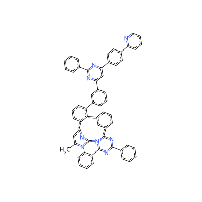 Cc1cc2nc(n1)[n+]1c(-c3ccccc3)nc(-c3ccccc3)nc1c1cccc(c1)c1c(-c3cccc(-c4cc(-c5ccc(-c6ccccn6)cc5)nc(-c5ccccc5)n4)c3)cccc21